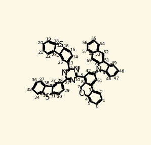 c1ccc2c(c1)OCc1c(-c3nc(-c4ccc5sc6ccccc6c5c4)nc(-c4ccc5sc6ccccc6c5c4)n3)cc(-n3c4ccccc4c4cc5ccccc5cc43)cc1-2